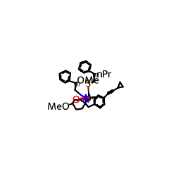 CCC[C@H](CSC1=N[C@]2(C(=O)N1C[C@H](OC)c1ccccc1)c1cc(C#CC3CC3)ccc1CC21CCC(OC)CC1)c1ccccc1